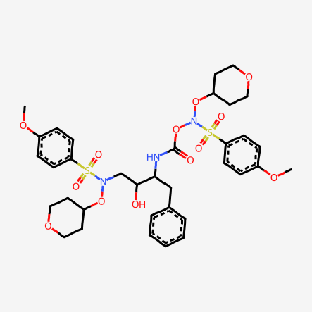 COc1ccc(S(=O)(=O)N(CC(O)C(Cc2ccccc2)NC(=O)ON(OC2CCOCC2)S(=O)(=O)c2ccc(OC)cc2)OC2CCOCC2)cc1